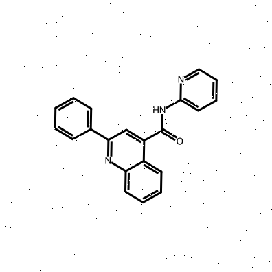 O=C(Nc1ccccn1)c1cc(-c2ccccc2)nc2ccccc12